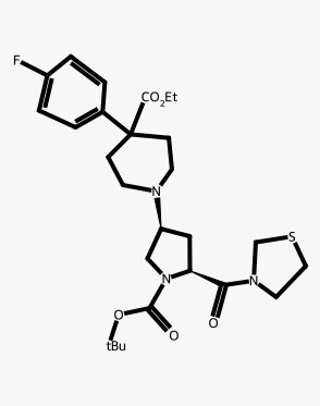 CCOC(=O)C1(c2ccc(F)cc2)CCN([C@H]2C[C@@H](C(=O)N3CCSC3)N(C(=O)OC(C)(C)C)C2)CC1